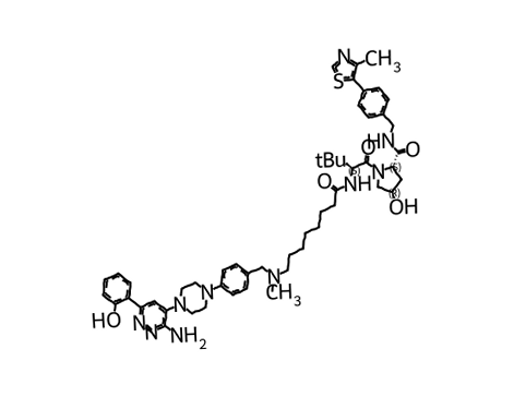 Cc1ncsc1-c1ccc(CNC(=O)[C@@H]2C[C@@H](O)CN2C(=O)[C@@H](NC(=O)CCCCCCCN(C)Cc2ccc(N3CCN(c4cc(-c5ccccc5O)nnc4N)CC3)cc2)C(C)(C)C)cc1